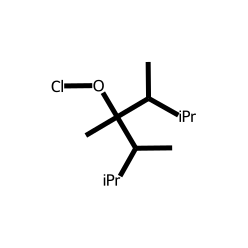 CC(C)C(C)C(C)(OCl)C(C)C(C)C